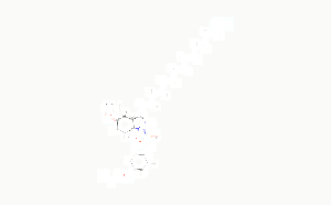 COc1ccc(CS(=O)(=O)n2cc(CCCCCCCCCCCCCCO)c3cc(OC)ccc32)cc1